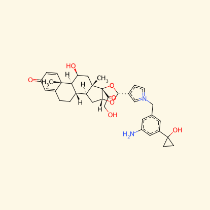 C[C@]12C=CC(=O)C=C1CC[C@@H]1[C@@H]2[C@@H](O)C[C@@]2(C)[C@H]1C[C@H]1O[C@@H](c3ccn(Cc4cc(N)cc(C5(O)CC5)c4)c3)O[C@]12C(=O)CO